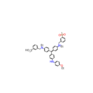 CCOc1ccc(Nc2ccc(C(=C3C=CC(=[N+](CC)Cc4cccc(S(C)(=O)=O)c4)C=C3)c3ccc(N(CC)Cc4cccc(S(=O)(=O)O)c4)cc3)cc2)cc1